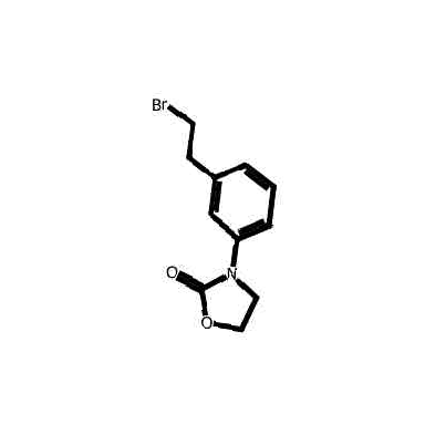 O=C1OCCN1c1cccc(CCBr)c1